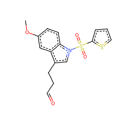 COc1ccc2c(c1)c(CCC=O)cn2S(=O)(=O)c1cccs1